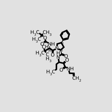 C=CCNC(=O)C(=O)C(CCC)NC(=O)[C@@H]1C[C@H](c2ccccc2)CN1C(=O)[C@@H](NC(=O)OC(C)(C)C)C(C)(C)C